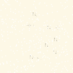 CC1(C)C[C@]1(C#N)c1cnc2nc(C(=O)N3CC[C@H](N4CCc5ccccc5C4)[C@@H](O)C3)cn2c1